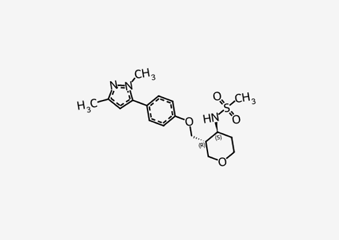 Cc1cc(-c2ccc(OC[C@H]3COCC[C@@H]3NS(C)(=O)=O)cc2)n(C)n1